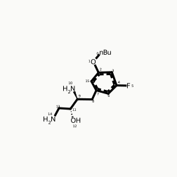 CCCCOc1cc(F)cc(C[C@H](N)[C@H](O)CN)c1